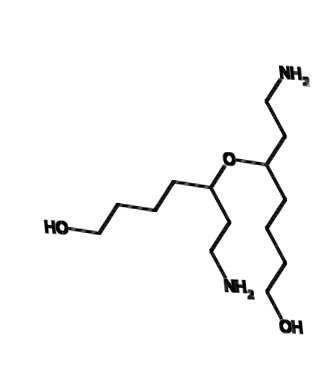 NCCC(CCCCO)OC(CCN)CCCCO